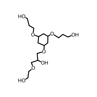 OCCCOC1CC(OCCCO)CC(OCC(O)COCCO)C1